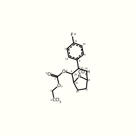 O=C(OCC(Cl)(Cl)Cl)OC1C(c2ccc(F)cc2)CC2CCC1N2C(=O)O